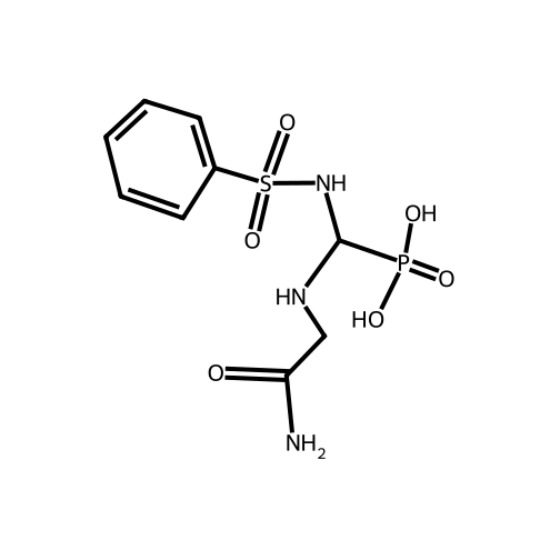 NC(=O)CNC(NS(=O)(=O)c1ccccc1)P(=O)(O)O